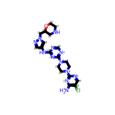 Nc1nc(N2CCN(c3ncnc(Nc4cnn(CC5CNCCO5)c4)n3)CC2)ncc1Cl